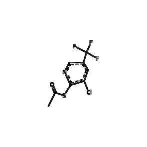 CC(=O)Sc1ncc(C(F)(F)F)cc1Cl